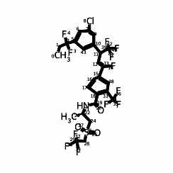 CCC(F)(F)c1cc(Cl)cc(C(/C=C(\F)c2ccc(C(=O)N[C@H](C)CS(=O)(=O)CC(F)(F)F)c(C(F)(F)F)c2)C(F)(F)F)c1